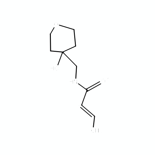 C/C=C/C(=O)NCC1(O)CCOCC1